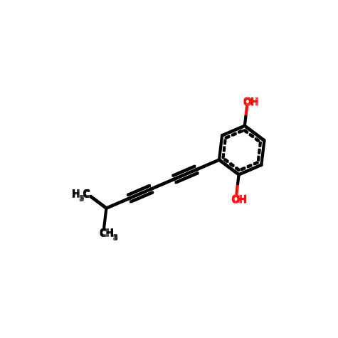 CC(C)C#CC#Cc1cc(O)ccc1O